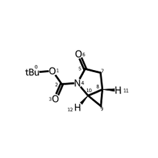 CC(C)(C)OC(=O)N1C(=O)C[C@@H]2C[C@@H]21